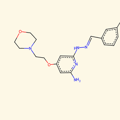 Cc1cccc(/C=N/Nc2cc(OCCN3CCOCC3)cc(N)n2)c1